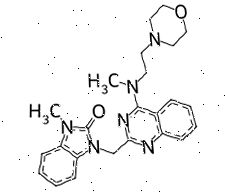 CN(CCN1CCOCC1)c1nc(Cn2c(=O)n(C)c3ccccc32)nc2ccccc12